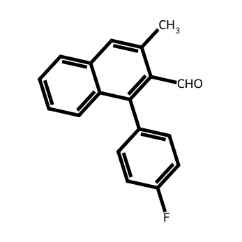 Cc1cc2ccccc2c(-c2ccc(F)cc2)c1C=O